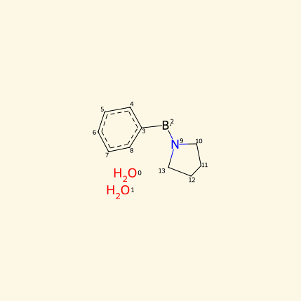 O.O.[B](c1ccccc1)N1CCCC1